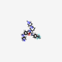 CN1CCC(N2CCCCC(N(Cc3ccc(N(C)c4ccncc4)cc3)C(=O)/C=C/c3ccc(C(F)(F)F)cc3)C2)CC1